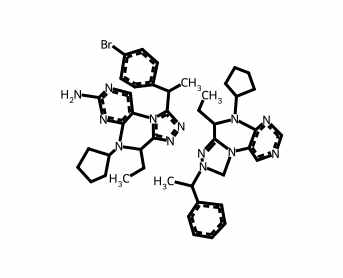 CCC1C2=NN(C(C)c3ccccc3)CN2c2cncnc2N1C1CCCC1.CCC1c2nnc(C(C)c3ccc(Br)cc3)n2-c2cnc(N)nc2N1C1CCCC1